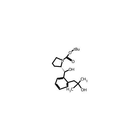 CC(C)(O)Cc1ccccc1C(O)[C@@H]1CCCN1C(=O)OC(C)(C)C